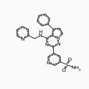 NS(=O)(=O)c1cncc(-c2nc(NCc3ccccn3)c3c(-c4ccccc4)ccn3n2)c1